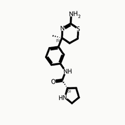 C[C@@]1(c2cccc(NC(=O)[C@@H]3CCCN3)c2)CCSC(N)=N1